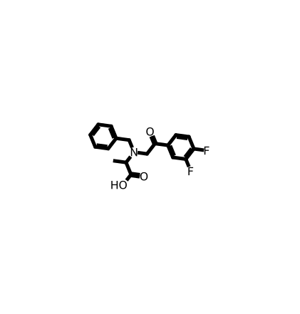 CC(C(=O)O)N(CC(=O)c1ccc(F)c(F)c1)Cc1ccccc1